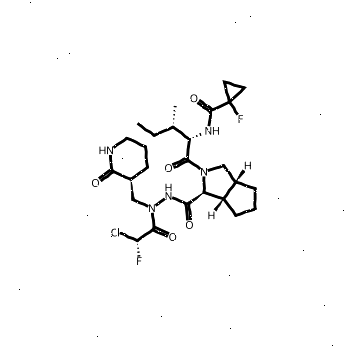 CC[C@H](C)[C@H](NC(=O)C1(F)CC1)C(=O)N1C[C@@H]2CCC[C@@H]2[C@H]1C(=O)NN(C[C@@H]1CCCNC1=O)C(=O)[C@H](F)Cl